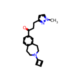 Cn1ccc(CCC(=O)c2ccc3c(c2)CCN(C2=CC=C2)CC3)n1